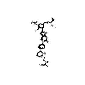 CC(=N)NCC[C@@H]1CCC[C@@H](c2ccc(-n3cc4cc(-c5cc(CCC[C@@H](N)C6CC6)cc(OC(F)(F)F)c5F)[nH]c4nc3=O)cc2)N1